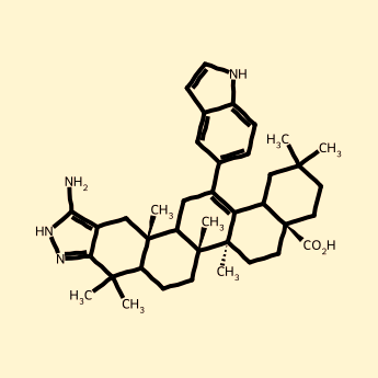 CC1(C)CC[C@]2(C(=O)O)CC[C@]3(C)C(=C(c4ccc5[nH]ccc5c4)CC4[C@@]5(C)Cc6c(n[nH]c6N)C(C)(C)C5CC[C@]43C)C2C1